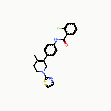 CC1=C(c2ccc(NC(=O)c3ccccc3F)cc2)CN(c2nccs2)CC1